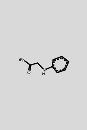 CC(C)C(=O)CNc1ccccc1